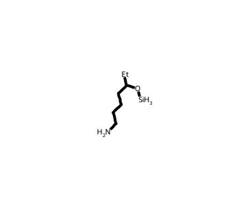 CCC(CCCCN)O[SiH3]